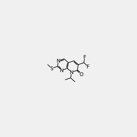 CSc1ncc2cc(C(F)F)c(=O)n(C(C)C)c2n1